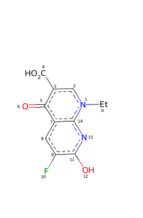 CCn1cc(C(=O)O)c(=O)c2cc(F)c(O)nc21